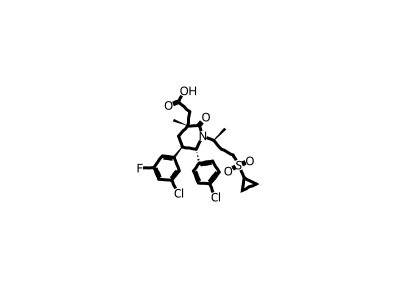 C[C@@H](CCS(=O)(=O)C1CC1)N1C(=O)[C@@](C)(CC(=O)O)C[C@H](c2cc(F)cc(Cl)c2)[C@H]1c1ccc(Cl)cc1